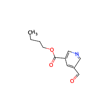 CCCCOC(=O)c1cncc(C=O)c1